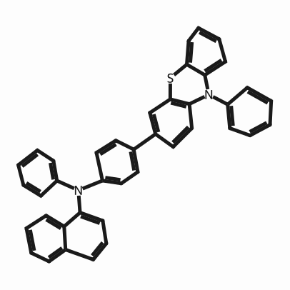 c1ccc(N2c3ccccc3Sc3cc(-c4ccc(N(c5ccccc5)c5cccc6ccccc56)cc4)ccc32)cc1